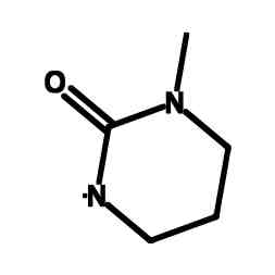 CN1CCC[N]C1=O